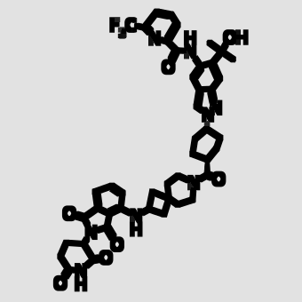 CC(C)(O)c1cc2nn([C@H]3CC[C@H](C(=O)N4CCC5(CC4)CC(Nc4cccc6c4C(=O)N(C4CCC(=O)NC4=O)C6=O)C5)CC3)cc2cc1NC(=O)c1cccc(C(F)(F)F)n1